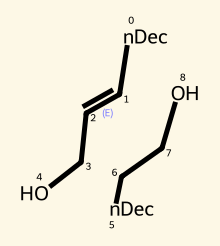 CCCCCCCCCC/C=C/CO.CCCCCCCCCCCCO